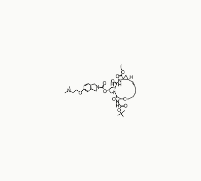 CCOC(=O)[C@@]12C[C@H]1/C=C\CCCCC[C@H](NC(=O)OC(C)(C)C)C(=O)N1C[C@H](OC(=O)N3Cc4ccc(OCCN(C)C)cc4C3)C[C@H]1C(=O)N2